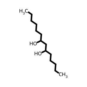 CCCCCCC(O)CC(O)CCCCC